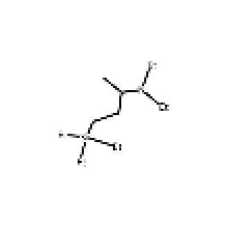 CCN(CC)C(C)CC[Si](CC)(CC)CC